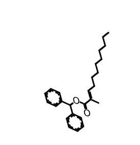 CCCCCCCCCC=C(C)C(=O)OC(c1ccccc1)c1ccccc1